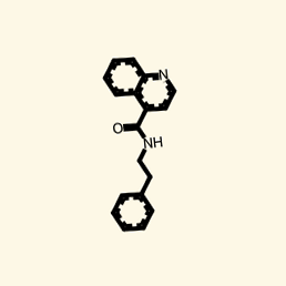 O=C(NCCc1ccccc1)c1ccnc2ccccc12